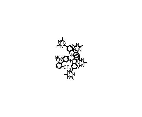 Cc1nc(C)nc(-c2ccc3c4ccc(-c5nc(C)nc(C)n5)cc4n(-c4cc(C#N)c(-c5c(C#N)cccc5C(F)(F)F)cc4-n4c5cc(-c6nc(C)nc(C)n6)ccc5c5ccc(-c6nc(C)nc(C)n6)cc54)c3c2)n1